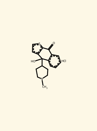 CN1CCC(C2(O)c3ccccc3C(=O)c3sccc32)CC1.Cl